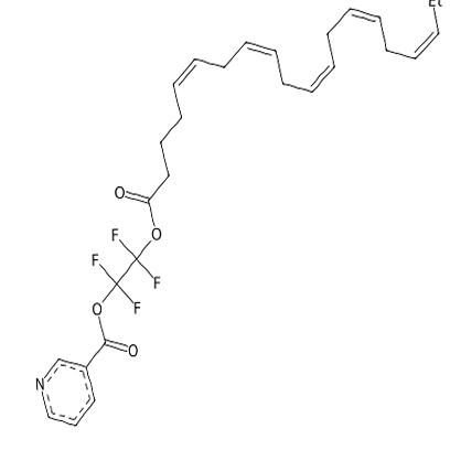 CC/C=C\C/C=C\C/C=C\C/C=C\C/C=C\CCCC(=O)OC(F)(F)C(F)(F)OC(=O)c1cccnc1